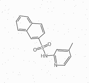 Cc1ccnc(NS(=O)(=O)c2ccc3ccccc3c2)c1